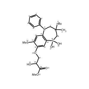 CCCCC1(C)CN(c2ccccc2)c2cc(SC)c(OCC(O)C(=O)OC)cc2S(O)(O)C1